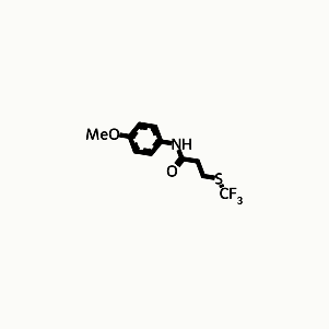 COc1ccc(NC(=O)CCSC(F)(F)F)cc1